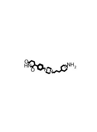 NN1CCC(CCCN2CCN(c3ccc(C4CCC(=O)NC4=O)cc3)CC2)CC1